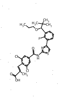 CCCOC(c1cccc(-c2csc(NC(=O)c3cc(Cl)c(C=C(C)C(=O)O)c(Cl)c3)n2)c1F)C(C)(C)C